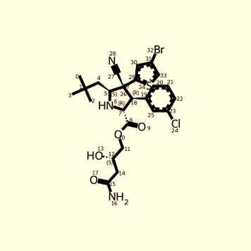 CC(C)(C)C[C@@H]1N[C@@H](C(=O)OC[C@@H](O)CC(N)=O)[C@H](c2cccc(Cl)c2)[C@@]1(C#N)c1cc(Br)cs1